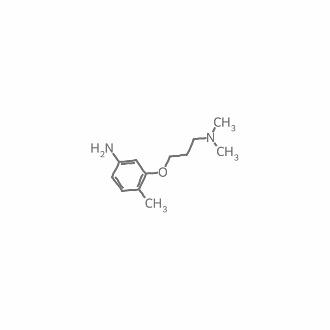 Cc1ccc(N)cc1OCCCN(C)C